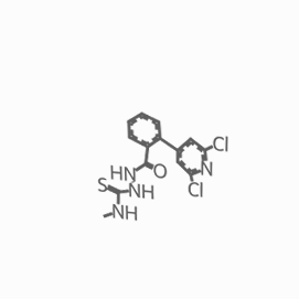 CNC(=S)NNC(=O)c1ccccc1-c1cc(Cl)nc(Cl)c1